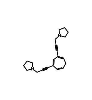 C(#CC1=CCC=CC(C#CCN2CCCC2)=C1)CN1CCCC1